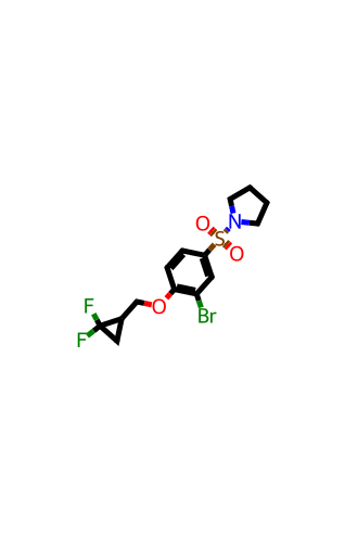 O=S(=O)(c1ccc(OCC2CC2(F)F)c(Br)c1)N1CCCC1